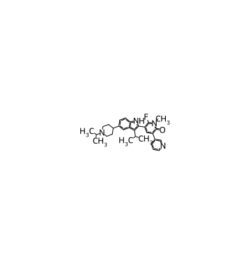 CC(C)c1c(-c2cc(-c3cccnc3)c(=O)n(C)c2F)[nH]c2ccc(C3CCN(C(C)C)CC3)cc12